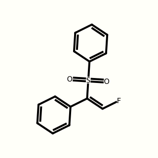 O=S(=O)(C(=CF)c1ccccc1)c1ccccc1